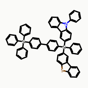 c1ccc(-n2c3ccccc3c3cc([Si](c4ccccc4)(c4ccc(-c5ccc([Si](c6ccccc6)(c6ccccc6)c6ccccc6)cc5)cc4)c4ccc5sc6ccccc6c5c4)ccc32)cc1